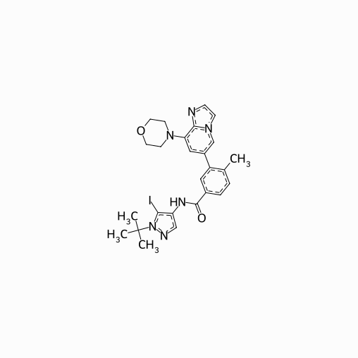 Cc1ccc(C(=O)Nc2cnn(C(C)(C)C)c2I)cc1-c1cc(N2CCOCC2)c2nccn2c1